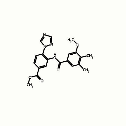 COC(=O)c1ccc(-n2cncn2)c(NC(=O)c2cc(C)c(C)c(OC)c2)c1